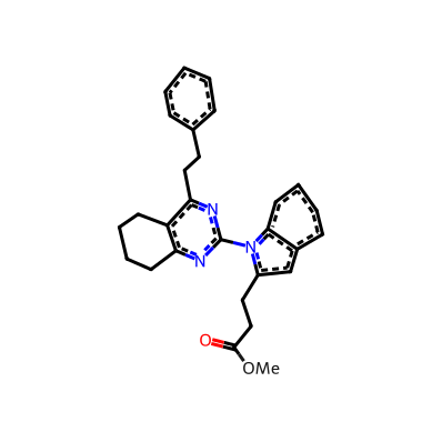 COC(=O)CCc1cc2ccccc2n1-c1nc2c(c(CCc3ccccc3)n1)CCCC2